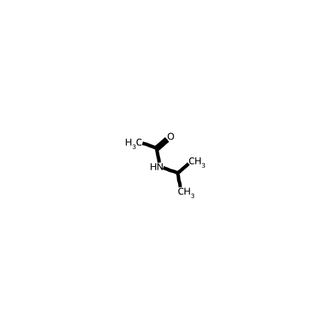 C[C](C)NC(C)=O